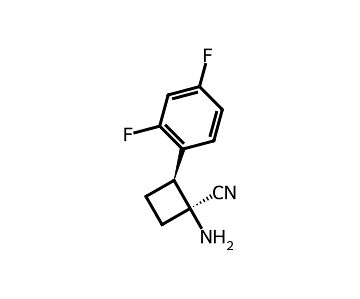 N#C[C@]1(N)CC[C@H]1c1ccc(F)cc1F